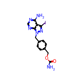 NC(=O)OCc1ccc(Cn2nc(I)c3c(N)ncnc32)cc1